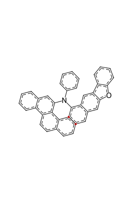 c1ccc(N(c2cccc3cc4oc5ccccc5c4cc23)c2cc3ccccc3c3ccc4ccccc4c23)cc1